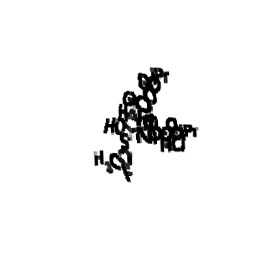 Cc1cc(SC[C@@H]2[C@@H](O)[C@H]3[C@H](C(=O)OCOC(=O)OC(C)C)[C@H]3[C@]2(N)C(=O)OCOC(=O)OC(C)C)ccc1F.Cl